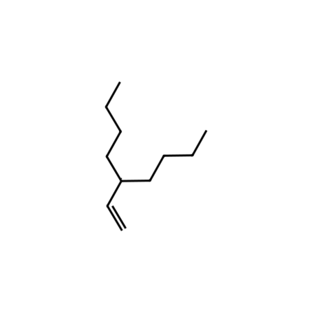 C=C[C](CCCC)CCCC